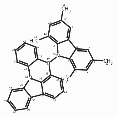 Cc1cc(C)c2c(c1)c1cc(C)cc(C)c1n2B1c2ccccc2-n2c3ccccc3c3cccc1c32